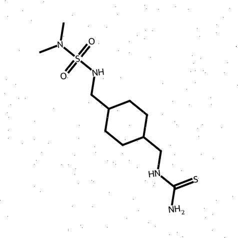 CN(C)S(=O)(=O)NCC1CCC(CNC(N)=S)CC1